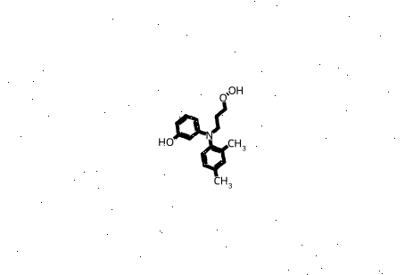 Cc1ccc(N(CCCOO)c2cccc(O)c2)c(C)c1